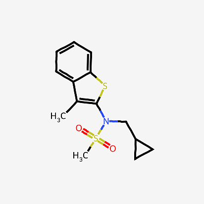 Cc1c(N(CC2CC2)S(C)(=O)=O)sc2ccccc12